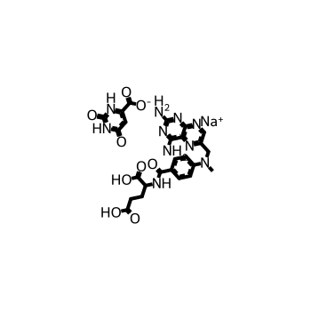 CN(Cc1cnc2nc(N)nc(N)c2n1)c1ccc(C(=O)NC(CCC(=O)O)C(=O)O)cc1.O=C([O-])c1cc(=O)[nH]c(=O)[nH]1.[Na+]